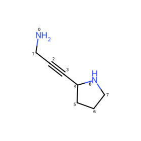 NCC#CC1CCCN1